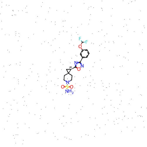 NS(=O)(=O)N1CCC2(CC1)C[C@H]2c1nc(-c2cccc(OC(F)F)c2)no1